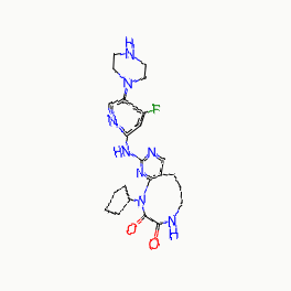 O=C1NCCCc2cnc(Nc3cc(F)c(N4CCNCC4)cn3)nc2N(C2CCCC2)C1=O